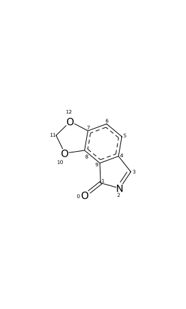 O=C1N=Cc2ccc3c(c21)OCO3